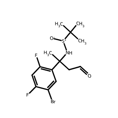 CC(CC=O)(N[S+]([O-])C(C)(C)C)c1cc(Br)c(F)cc1F